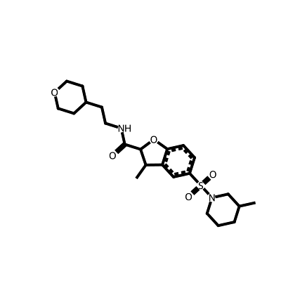 CC1CCCN(S(=O)(=O)c2ccc3c(c2)C(C)C(C(=O)NCCC2CCOCC2)O3)C1